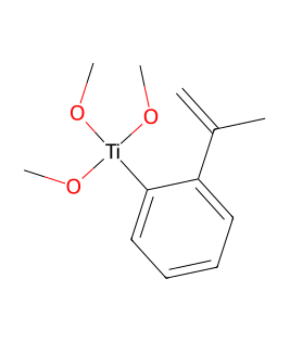 C=C(C)c1cccc[c]1[Ti]([O]C)([O]C)[O]C